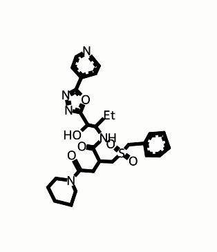 CCC(NC(=O)C(CC(=O)N1CCCCC1)CS(=O)(=O)Cc1ccccc1)C(O)c1nnc(-c2ccncc2)o1